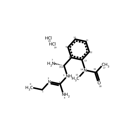 CCN=C(N)N[C@H](N)c1ccccc1N(C)C(C)=O.Cl.Cl